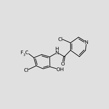 O=C(Nc1cc(C(F)(F)F)c(Cl)cc1O)c1ccncc1Cl